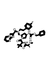 CN[C@@H](C)C(=O)N[C@H](C(=O)N1C[C@@H](NC(=O)OCc2ccccc2)C[C@H]1CN(CCc1ccc(F)cc1)C(=O)c1cn2cccnc2n1)C(C)(C)C